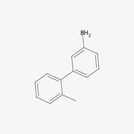 Bc1cccc(-c2ccccc2C)c1